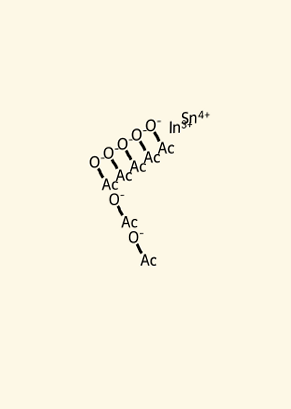 CC(=O)[O-].CC(=O)[O-].CC(=O)[O-].CC(=O)[O-].CC(=O)[O-].CC(=O)[O-].CC(=O)[O-].[In+3].[Sn+4]